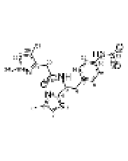 Cc1csc([C@H](Cc2ccc(N[SH](=O)=O)cc2)NC(=O)Cc2nc(C)sc2C)n1